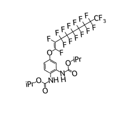 CC(C)OC(=O)Nc1ccc(OC(F)=C(F)C(F)(F)C(F)(F)C(F)(F)C(F)(F)C(F)(F)C(F)(F)C(F)(F)F)cc1NC(=O)OC(C)C